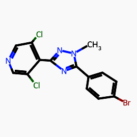 Cn1nc(-c2c(Cl)cncc2Cl)nc1-c1ccc(Br)cc1